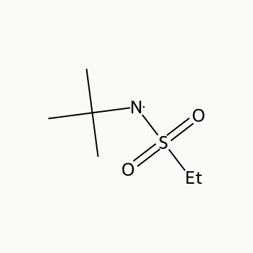 CCS(=O)(=O)[N]C(C)(C)C